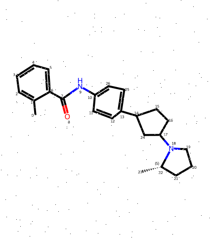 Cc1ccccc1C(=O)Nc1ccc(C2CCC(N3CCC[C@@H]3C)C2)cc1